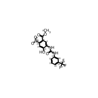 COC(=O)c1cc(NC(=O)Nc2cccc(C(F)(F)F)c2)c(O)cc1[N+](=O)[O-]